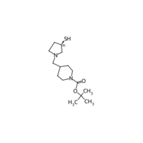 CC(C)(C)OC(=O)N1CCC(CN2CC[C@@H](S)C2)CC1